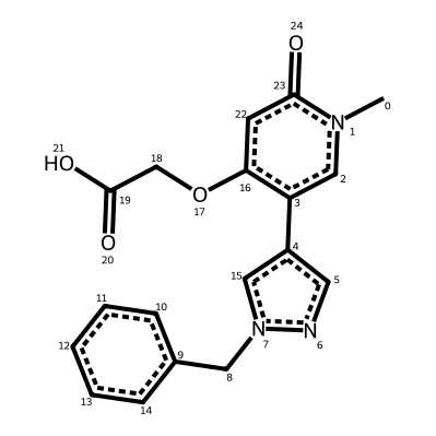 Cn1cc(-c2cnn(Cc3ccccc3)c2)c(OCC(=O)O)cc1=O